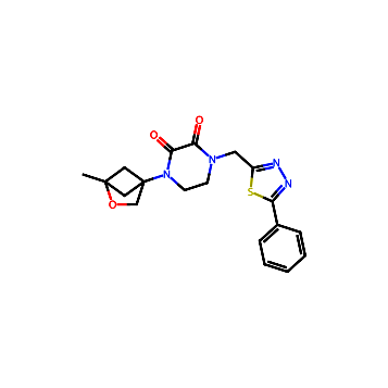 CC12CC(N3CCN(Cc4nnc(-c5ccccc5)s4)C(=O)C3=O)(CO1)C2